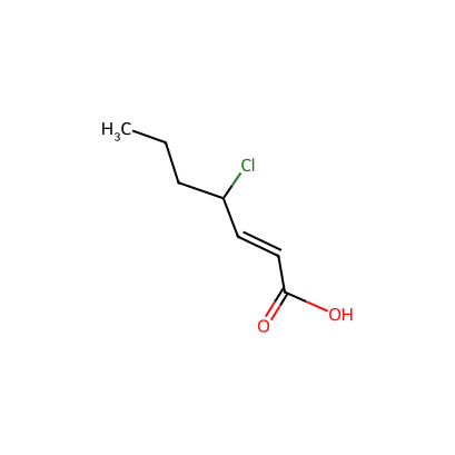 CCCC(Cl)C=CC(=O)O